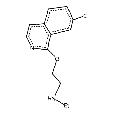 CCNCCOc1nccc2ccc(Cl)cc12